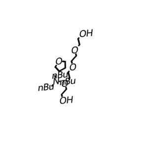 C1CCOC1.CCCCN(CCCC)CCCC.OCCOCCOCCOCCO